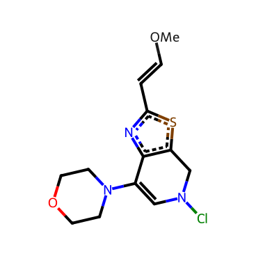 COC=Cc1nc2c(s1)CN(Cl)C=C2N1CCOCC1